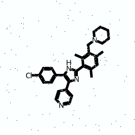 Cc1cc(C)c(-c2nc(-c3ccncc3)c(-c3ccc(Cl)cc3)[nH]2)c(C)c1CN1CCCCC1